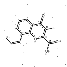 C/C=C\c1cccc2c(=O)c(C)c(C(=O)O)oc12